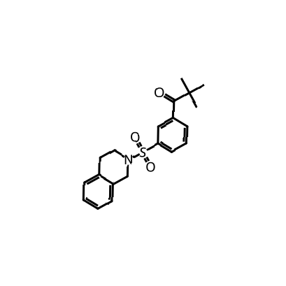 CC(C)(C)C(=O)c1cccc(S(=O)(=O)N2CCc3ccccc3C2)c1